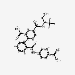 CC(C)(C)C(CO)NC(=O)c1ccc(-c2cccnc2C(=O)Nc2ccc(C(=N)N)nc2)c(C(=O)O)c1